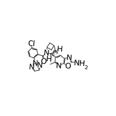 Cc1nc2oc(N)nc2cc1[C@@H]1[C@H](C)C2CC(C2)N1C(=O)c1cc(Cl)ccc1-n1nccn1